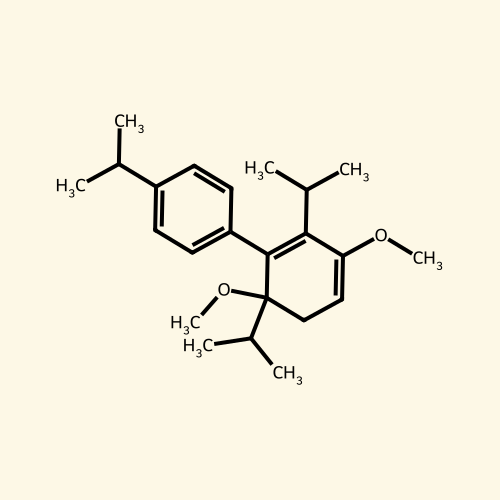 COC1=CCC(OC)(C(C)C)C(c2ccc(C(C)C)cc2)=C1C(C)C